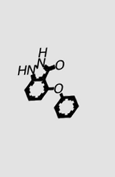 O=c1[nH][nH]c2cccc(Oc3ccccc3)c12